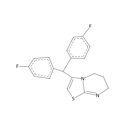 Fc1ccc(C(C2=CSC3=NCCCN23)c2ccc(F)cc2)cc1